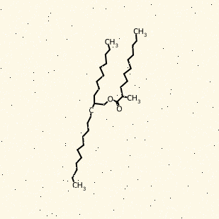 CCCCCCCCCCCCC(CCCCCCCCC)COC(=O)C(C)CCCCCCCCC